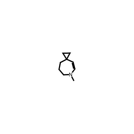 CN1C=CC2(CCC1)CC2